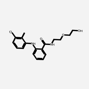 Cc1c(Cl)cccc1Nc1ccccc1C(=O)NCCOCCO